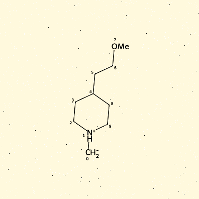 [CH2-][NH+]1CCC(CCOC)CC1